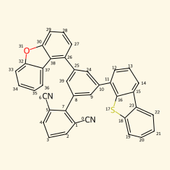 N#Cc1cccc(C#N)c1-c1cc(-c2cccc3c2sc2ccccc23)cc(-c2cccc3oc4ccccc4c23)c1